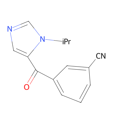 CC(C)n1cncc1C(=O)c1cccc(C#N)c1